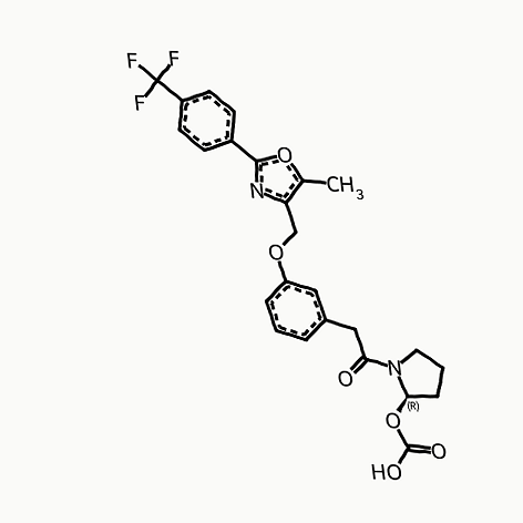 Cc1oc(-c2ccc(C(F)(F)F)cc2)nc1COc1cccc(CC(=O)N2CCC[C@H]2OC(=O)O)c1